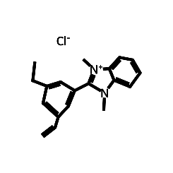 C=Cc1cc(CC)cc(-c2n(C)c3ccccc3[n+]2C)c1.[Cl-]